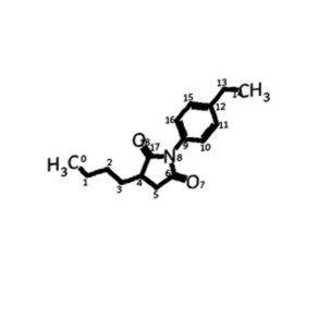 CCCCC1CC(=O)N(c2ccc(CC)cc2)C1=O